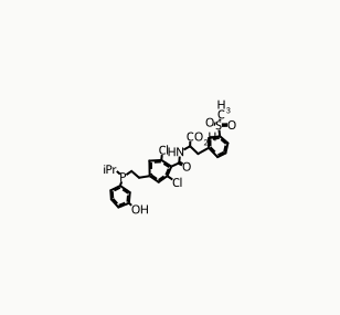 CC(C)P(CCc1cc(Cl)c(C(=O)NC(Cc2cccc(S(C)(=O)=O)c2)C(=O)O)c(Cl)c1)c1cccc(O)c1